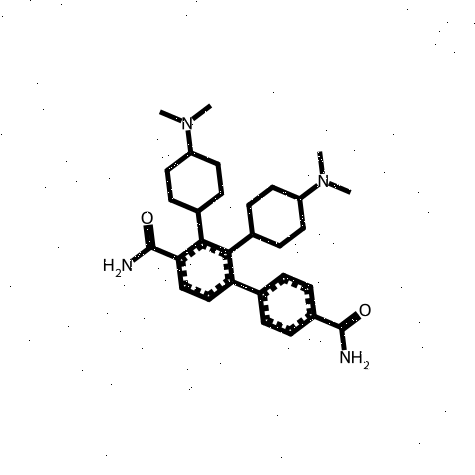 CN(C)C1CCC(c2c(C(N)=O)ccc(-c3ccc(C(N)=O)cc3)c2C2CCC(N(C)C)CC2)CC1